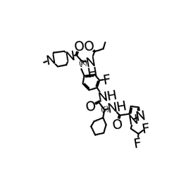 CCC(=O)N[C@H](Cc1ccc(NC(=O)[C@@H](NC(=O)c2ccnn2CC(F)F)C2CCCCC2)c(F)c1)C(=O)N1CCN(C)CC1